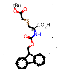 CC(C)(C)OC(=O)CSC[C@H](NC(=O)OCC1c2ccccc2-c2ccccc21)C(=O)O